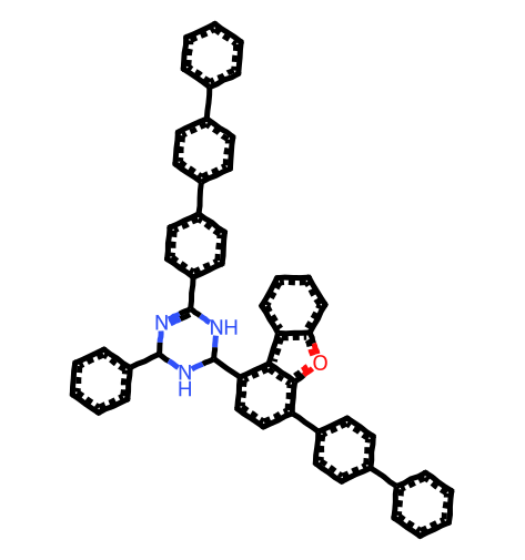 c1ccc(-c2ccc(-c3ccc(C4=NC(c5ccccc5)NC(c5ccc(-c6ccc(-c7ccccc7)cc6)c6oc7ccccc7c56)N4)cc3)cc2)cc1